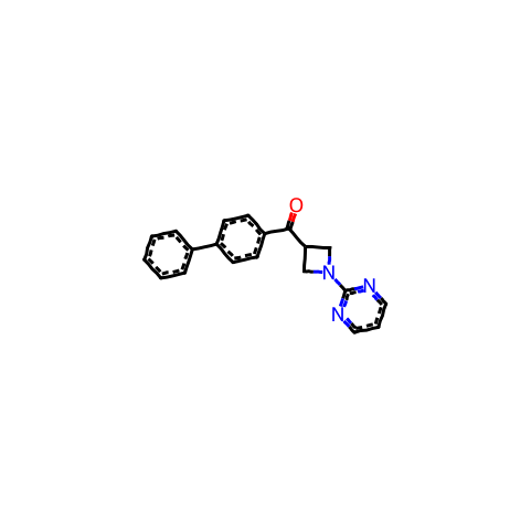 O=C(c1ccc(-c2ccccc2)cc1)C1CN(c2ncccn2)C1